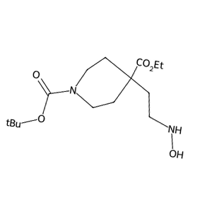 CCOC(=O)C1(CCNO)CCN(C(=O)OC(C)(C)C)CC1